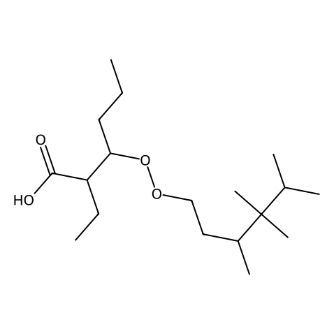 CCCC(OOCCC(C)C(C)(C)C(C)C)C(CC)C(=O)O